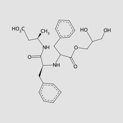 C[C@H](CC(=O)O)NC(=O)[C@H](Cc1ccccc1)NC(Cc1ccccc1)C(=O)OCC(O)CO